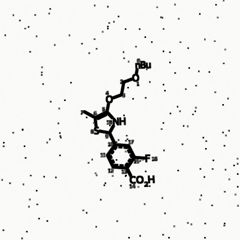 CCCCOCCOC1=C(C)SC(c2ccc(C(=O)O)c(F)c2)N1